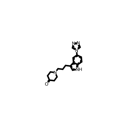 O=C1CCN(CCCc2c[nH]c3ccc(-n4cnnc4)cc23)CC1